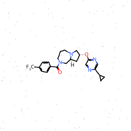 O=C(c1ccc(C(F)(F)F)cc1)N1CCCN2C[C@H](Oc3cnc(C4CC4)cn3)C[C@H]2C1